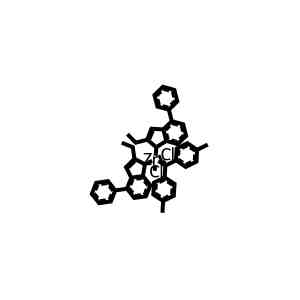 CCC1=Cc2c(-c3ccccc3)cccc2[CH]1[Zr]([Cl])([Cl])(=[C](c1ccc(C)cc1)c1ccc(C)cc1)[CH]1C(CC)=Cc2c(-c3ccccc3)cccc21